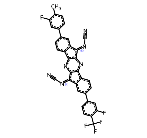 Cc1ccc(-c2ccc3c(c2)/c(=N\C#N)c2nc4c(nc23)/c(=N\C#N)c2cc(-c3ccc(C(F)(F)F)c(F)c3)ccc24)cc1F